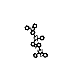 c1ccc(-c2nc(-c3ccc4c(c3)c3ccccc3n4-c3ccccc3)nc(-c3cccc4sc5c(-c6nc(-c7ccccc7)c7oc8ccccc8c7n6)cccc5c34)n2)cc1